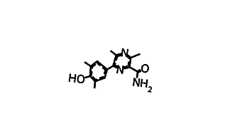 Cc1cc(-c2nc(C(N)=O)c(C)nc2C)cc(C)c1O